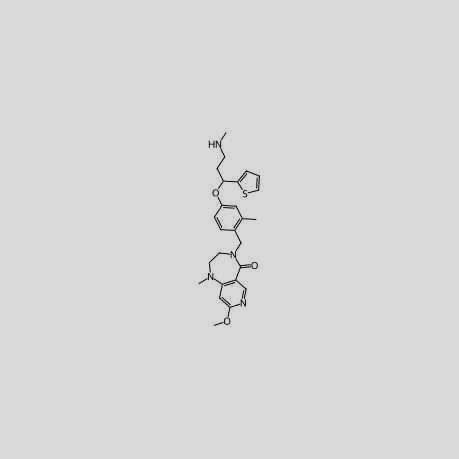 CNCCC(Oc1ccc(CN2CCN(C)c3cc(OC)ncc3C2=O)c(C)c1)c1cccs1